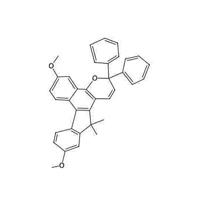 COc1ccc2c(c1)C(C)(C)c1c3c(c4cc(OC)ccc4c1-2)OC(c1ccccc1)(c1ccccc1)C=C3